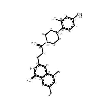 Cc1cc(F)cc2c(=O)[nH]c(CCC(=O)N3CCN(c4ccc(C#N)cc4F)CC3)cc12